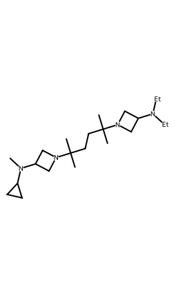 CCN(CC)C1CN(C(C)(C)CCC(C)(C)N2CC(N(C)C3CC3)C2)C1